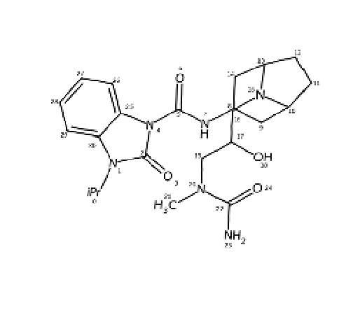 CC(C)n1c(=O)n(C(=O)NC2CC3CCC(C2)N3CC(O)CN(C)C(N)=O)c2ccccc21